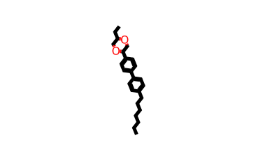 CCCCCCCc1ccc(-c2ccc(C3COC(CC)CO3)cc2)cc1